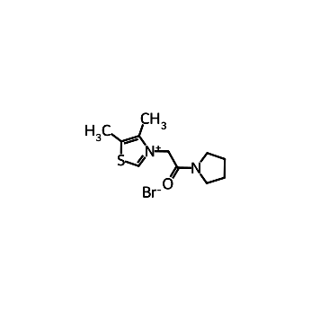 Cc1sc[n+](CC(=O)N2CCCC2)c1C.[Br-]